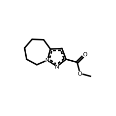 COC(=O)c1cc2n(n1)CCCCC2